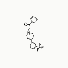 O=C(CCN1CC=C(c2cccc(C(F)(F)F)c2)CC1)c1ccccc1